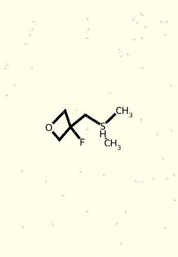 C[SH](C)CC1(F)COC1